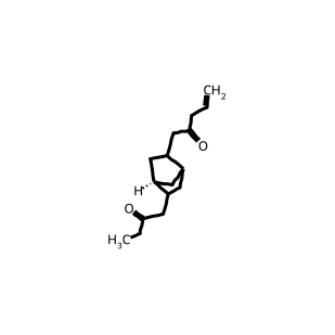 C=CCC(=O)CC1C[C@H]2CC1CC2CC(=O)CC